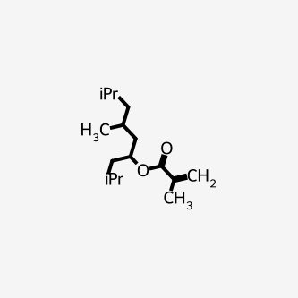 C=C(C)C(=O)OC(CC(C)C)CC(C)CC(C)C